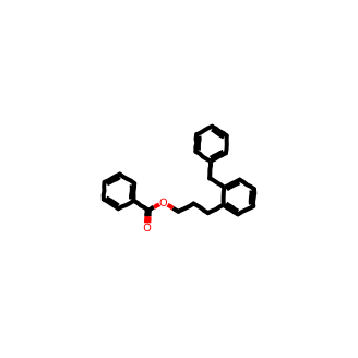 O=C(OCCCc1ccccc1Cc1ccccc1)c1ccccc1